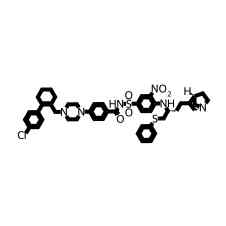 O=C(NS(=O)(=O)c1ccc(N[C@H](CCC2C[N@@]3CC[C@H]2C3)CSc2ccccc2)c([N+](=O)[O-])c1)c1ccc(N2CCN(CC3=C(c4ccc(Cl)cc4)CCCC3)CC2)cc1